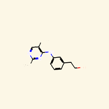 CSc1ncc(C=O)c(Nc2cccc(CCO)c2)n1